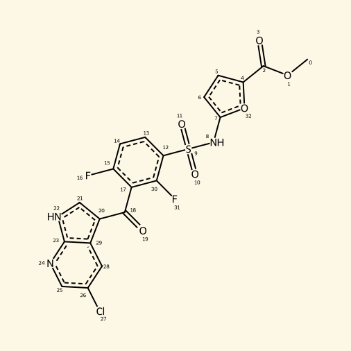 COC(=O)c1ccc(NS(=O)(=O)c2ccc(F)c(C(=O)c3c[nH]c4ncc(Cl)cc34)c2F)o1